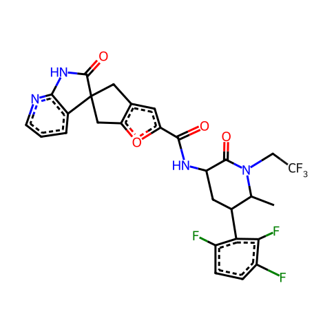 CC1C(c2c(F)ccc(F)c2F)CC(NC(=O)c2cc3c(o2)CC2(C3)C(=O)Nc3ncccc32)C(=O)N1CC(F)(F)F